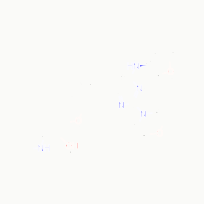 CNCC(O)COc1cccc(-c2nc(N3CCOCC3)nc(N[C@H]3CCOC3)c2C)c1